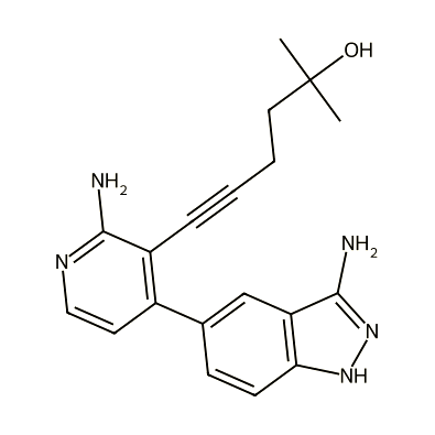 CC(C)(O)CCC#Cc1c(-c2ccc3[nH]nc(N)c3c2)ccnc1N